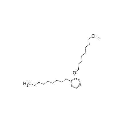 CCCCCCCCCOc1c[c]ccc1CCCCCCCCC